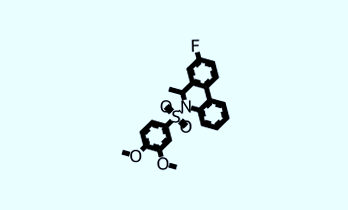 COc1ccc(S(=O)(=O)N2c3ccccc3-c3ccc(F)cc3C2C)cc1OC